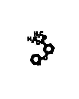 COB(OC)c1cccc(Oc2ccccn2)c1